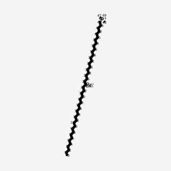 CCCCCCCCCCCCCCCCCCCCCCCCCCCCCCCCCCCCCCCCCCCCCC[P+](C)(C)C.[Br-]